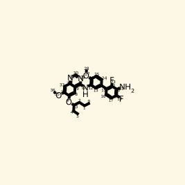 CCCC(CC)Oc1cc2c(Nc3cc(-c4ccc(F)c(N)c4F)ccc3OC)ncnc2cc1OC